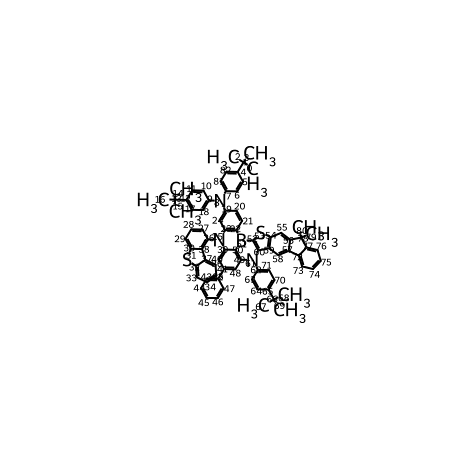 CC(C)(C)c1ccc(N(c2ccc(C(C)(C)C)cc2)c2ccc3c(c2)N(c2cccc4sc5ccccc5c24)c2cc(-c4ccccc4)cc4c2B3c2sc3cc5c(cc3c2N4c2ccc(C(C)(C)C)cc2)-c2ccccc2C5(C)C)cc1